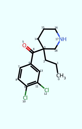 CCCC1(C(=O)c2ccc(Cl)c(Cl)c2)CCCNC1